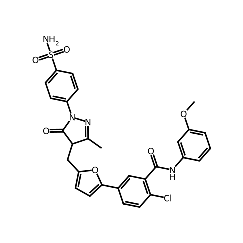 COc1cccc(NC(=O)c2cc(-c3ccc(CC4C(=O)N(c5ccc(S(N)(=O)=O)cc5)N=C4C)o3)ccc2Cl)c1